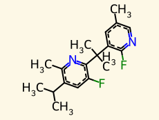 Cc1cnc(F)c(C(C)(C)c2nc(C)c(C(C)C)cc2F)c1